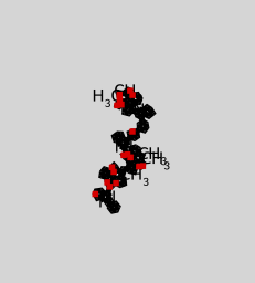 CC1(C)c2ccccc2C2(c3cc(-c4nc(-c5ccc(-c6cccc(-c7cc(-c8cccc9c8-c8ccccc8C98c9ccccc9C(C)(C)c9ccccc98)nc8ccccc78)c6)cc5)c5ccccc5n4)ccc3-c3c(CC4(C)c5ccccc5C5(c6ccccc6-c6cc(-c7nc(-c8ccccc8)nc8ccccc78)ccc65)c5ccccc54)cccc32)c2ccccc21